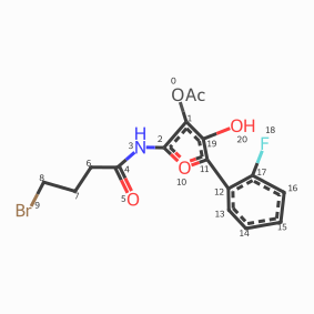 CC(=O)Oc1c(NC(=O)CCCBr)oc(-c2ccccc2F)c1O